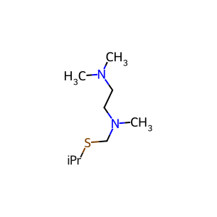 CC(C)SCN(C)CCN(C)C